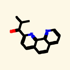 CC(C)C(=O)c1ccc2ccc3cccnc3c2n1